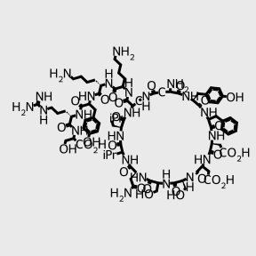 CC(C)C[C@@H]1NC(=O)C(C(C)C)NC(=O)[C@H](CC(N)=O)NC(=O)C(CO)NC(=O)[C@H](CO)NC(=O)C(CC(=O)O)NC(=O)[C@H](CC(=O)O)NC(=O)C(Cc2ccccc2)NC(=O)[C@H](Cc2ccc(O)cc2)NC(=O)C(N)CC(=O)NCC(C(=O)NC(CCCCN)C(=O)N[C@@H](CCCCN)C(=O)NC(Cc2ccc(O)cc2)C(=O)N[C@@H](CCCNC(=N)N)C(=O)NC(CO)C(=O)O)NC1=O